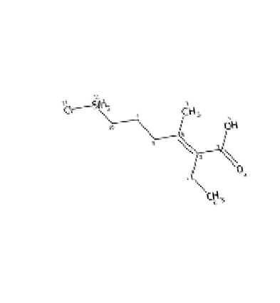 CCC(C(=O)O)=C(C)CCC[SiH2]Cl